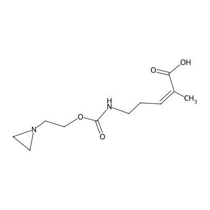 CC(=CCCNC(=O)OCCN1CC1)C(=O)O